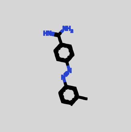 Cc1[c]ccc(N=Nc2ccc(C(=N)N)cc2)c1